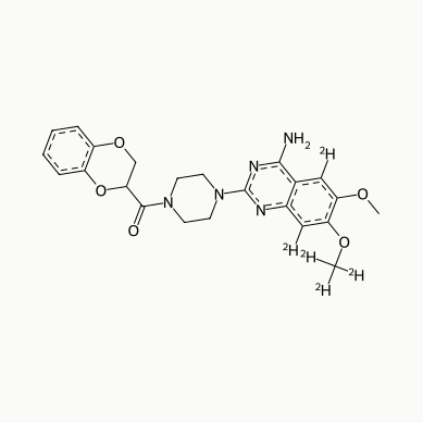 [2H]c1c(OC([2H])([2H])[2H])c(OC)c([2H])c2c(N)nc(N3CCN(C(=O)C4COc5ccccc5O4)CC3)nc12